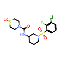 O=C(NC1CCCN(S(=O)(=O)c2cccc(Cl)c2F)C1)N1CC[S+]([O-])CC1